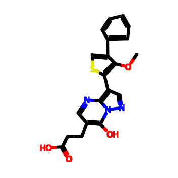 COc1c(-c2ccccc2)csc1-c1cnn2c(O)c(CCC(=O)O)cnc12